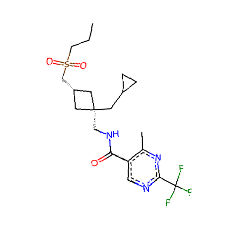 CCCS(=O)(=O)C[C@H]1C[C@](CNC(=O)c2cnc(C(F)(F)F)nc2C)(CC2CC2)C1